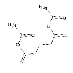 C=C(CCCC(=C)OC(N)=O)OC(N)=O